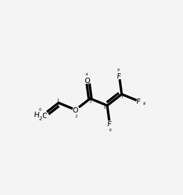 C=COC(=O)C(F)=C(F)F